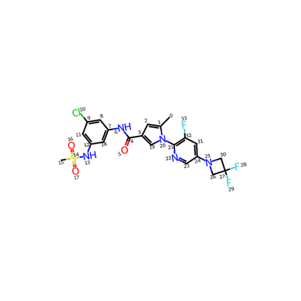 Cc1cc(C(=O)Nc2cc(Cl)cc(NS(C)(=O)=O)c2)cn1-c1ncc(N2CC(F)(F)C2)cc1F